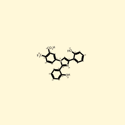 O=C(O)c1cc(-n2cc(-c3ccccc3O)nc2-c2ccccc2O)ccc1C(F)(F)F